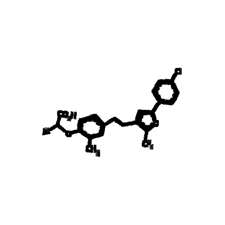 CCC(Oc1ccc(CCc2cc(-c3ccc(Cl)cc3)oc2C(F)(F)F)cc1C)C(=O)O